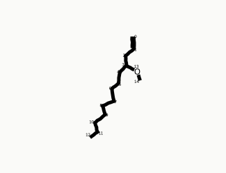 C=CCC(CCCCCCCCC)OC